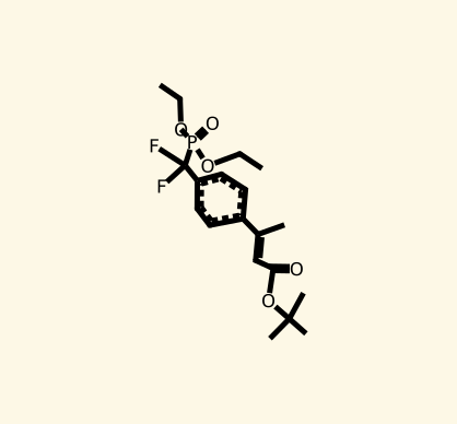 CCOP(=O)(OCC)C(F)(F)c1ccc(/C(C)=C/C(=O)OC(C)(C)C)cc1